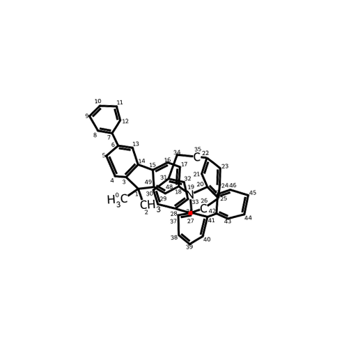 CC1(C)c2ccc(-c3ccccc3)cc2-c2ccc(N(c3cc4ccc3CCc3ccc(cc3)CC4)c3ccccc3-c3ccccc3)cc21